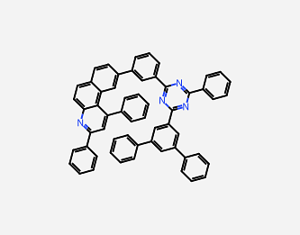 c1ccc(-c2cc(-c3ccccc3)cc(-c3nc(-c4ccccc4)nc(-c4cccc(-c5ccc6ccc7nc(-c8ccccc8)cc(-c8ccccc8)c7c6c5)c4)n3)c2)cc1